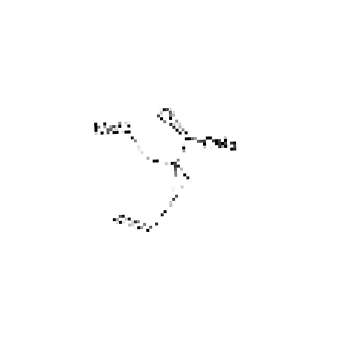 C=CC1CC1(COC)C(=O)OC